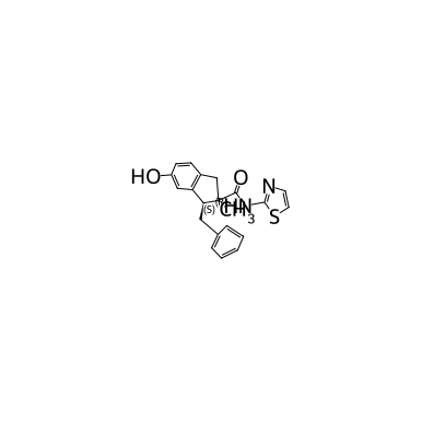 C[C@@]1(C(=O)Nc2nccs2)Cc2ccc(O)cc2[C@@H]1Cc1ccccc1